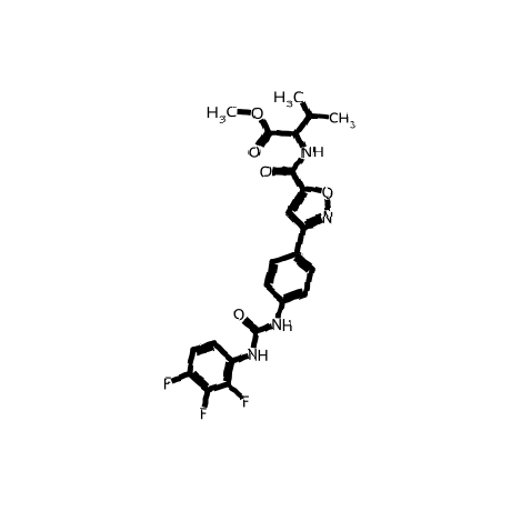 COC(=O)C(NC(=O)c1cc(-c2ccc(NC(=O)Nc3ccc(F)c(F)c3F)cc2)no1)C(C)C